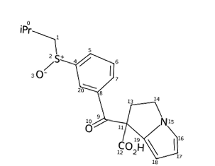 CC(C)C[S+]([O-])c1cccc(C(=O)C2(C(=O)O)CCn3cccc32)c1